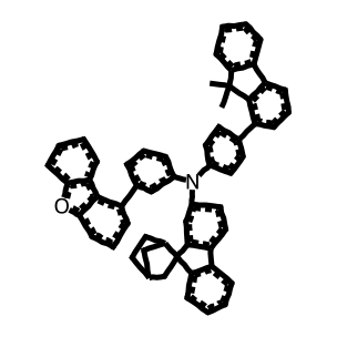 CC1(C)c2ccccc2-c2cccc(-c3ccc(N(c4cccc(-c5cccc6oc7ccccc7c56)c4)c4ccc5c(c4)C4(CC6CCC4C6)c4ccccc4-5)cc3)c21